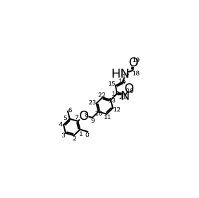 Cc1cccc(C)c1OCc1ccc(-c2cc(NC=O)on2)cc1